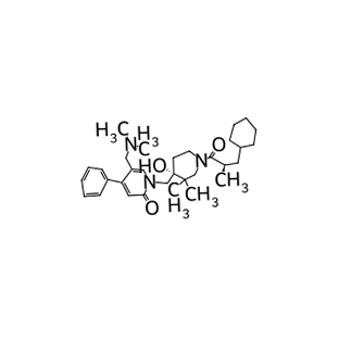 C[C@H](CC1CCCCC1)C(=O)N1CC[C@](O)(Cn2cc(CN(C)C)c(-c3ccccc3)cc2=O)C(C)(C)C1